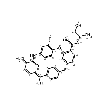 C=C(/C=C\C=C(/C)c1ccc(F)cc1)C(=O)Nc1ccc(Oc2ccncc2C(=N)N[C@H](C)CO)c(F)c1